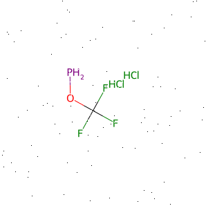 Cl.Cl.FC(F)(F)OP